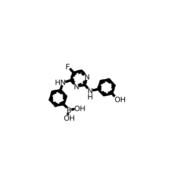 OB(O)c1cccc(Nc2nc(Nc3cccc(O)c3)ncc2F)c1